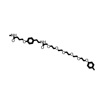 CNC(=O)CCCOc1ccc(CCNC(=O)COCCOCCOCCOCCOCCOc2ccc(C)cc2)cc1